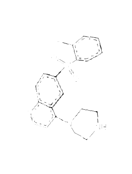 O=S(=O)(c1ccc2nccc(N3CCNCC3)c2c1)c1ccccc1F